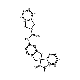 O=C(Nc1ccc2c(c1)CC1(C2)C(=O)Nc2ncccc21)C1Cc2ccccc2C1